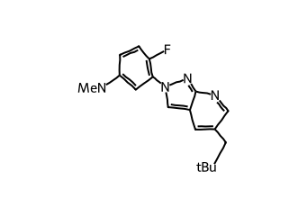 CNc1ccc(F)c(-n2cc3cc(CC(C)(C)C)cnc3n2)c1